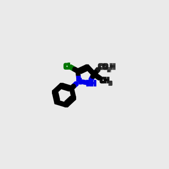 CC1(C(=O)O)C=C(Cl)N(c2ccccc2)N1